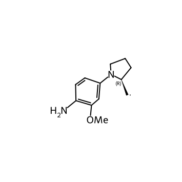 [CH2][C@@H]1CCCN1c1ccc(N)c(OC)c1